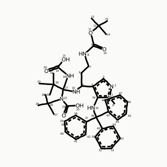 Cn1ncc(C(CCNC(=O)OC(C)(C)C)NC(NC(=O)O)(N(C(=O)O)C(C)(C)C)C(C)(C)C)c1NC(c1ccccc1)(c1ccccc1)c1ccccc1